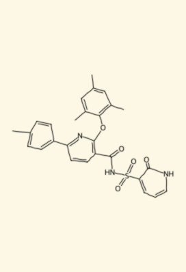 Cc1ccc(-c2ccc(C(=O)NS(=O)(=O)c3ccc[nH]c3=O)c(Oc3c(C)cc(C)cc3C)n2)cc1